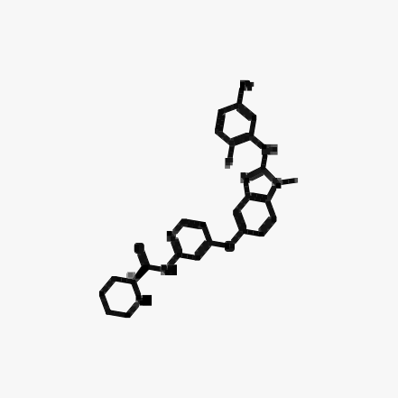 CC(C)c1ccc(F)c(Nc2nc3cc(Oc4ccnc(NC(=O)[C@@H]5CCCCN5)c4)ccc3n2C)c1